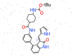 CC(C)(C)OC(=O)NC1CCC(C(=O)Nc2cccc(-c3cccc4c3/C(=C/c3ccc[nH]3)C(=O)N4)c2)CC1